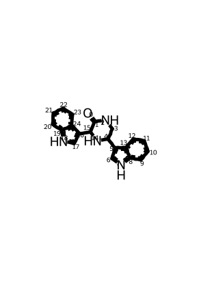 O=C1NCC(c2c[nH]c3ccccc23)NC1c1c[nH]c2ccccc12